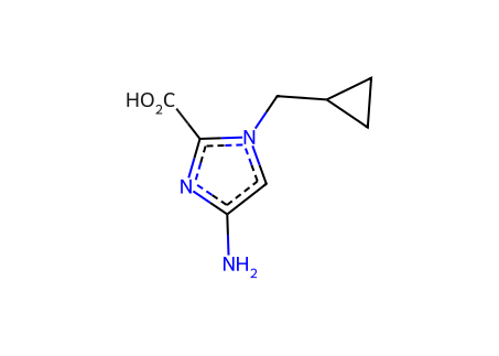 Nc1cn(CC2CC2)c(C(=O)O)n1